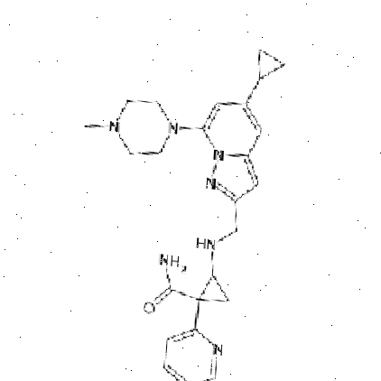 CN1CCN(c2cc(C3CC3)cc3cc(CNC4CC4(C(N)=O)c4ccccn4)nn23)CC1